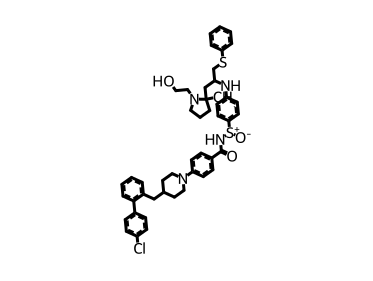 CC1(CC(CSc2ccccc2)Nc2ccc([S+]([O-])NC(=O)c3ccc(N4CCC(Cc5ccccc5-c5ccc(Cl)cc5)CC4)cc3)cc2)CCCN1CCO